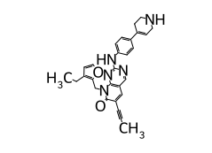 CC#Cc1cc2cnc(Nc3ccc(C4=CCNCC4)cc3)nc2n(Cc2occc2CC)c1=O